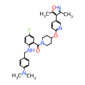 Cc1noc(C)c1-c1ccc(OC2CCN(C(=O)c3cc(F)ccc3NCc3ccc(N(C)C)cc3)CC2)nc1